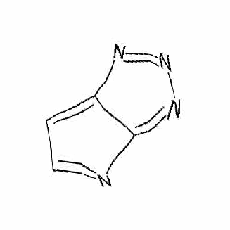 C1=NC2=NN=NC2=C1